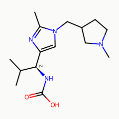 Cc1nc([C@@H](NC(=O)O)C(C)C)cn1CC1CCN(C)C1